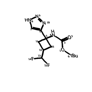 CC(C)(C)OC(=O)NC1(c2c[nH]nn2)CC(C(F)F)C1